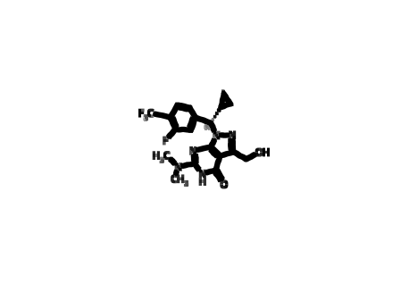 CN(C)c1nc2c(c(CO)nn2[C@H](c2ccc(C(F)(F)F)c(F)c2)C2CC2)c(=O)[nH]1